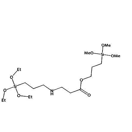 CCO[Si](CCCNCCC(=O)OCCC[Si](OC)(OC)OC)(OCC)OCC